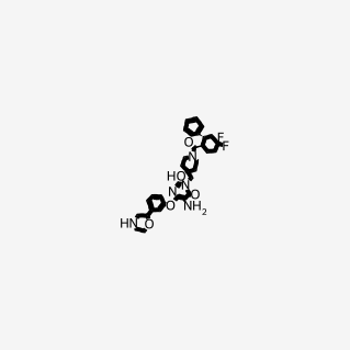 Nc1c(Oc2cccc(C3CNCCO3)c2)ncn(CC2(O)CCN(C(=O)[C@@H]3CCC(F)(F)C[C@H]3c3ccccc3)CC2)c1=O